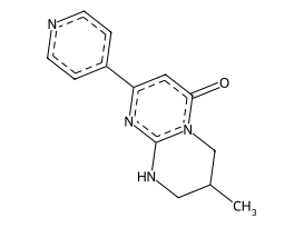 CC1CNc2nc(-c3ccncc3)cc(=O)n2C1